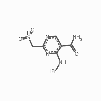 CC(C)Nc1nc(C[SH](=O)=O)ncc1C(N)=O